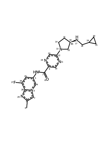 Cc1cn2cc(NC(=O)c3cnc(N4CC[C@@H](NCC5CC5)C4)cn3)cc(F)c2n1